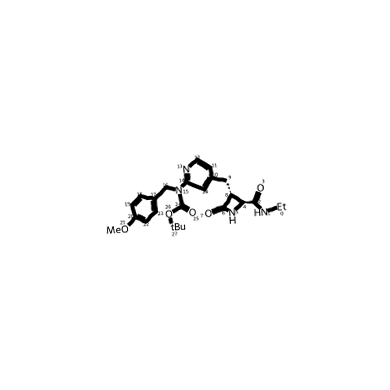 CCNC(=O)[C@H]1NC(=O)[C@@H]1Cc1ccnc(N(Cc2ccc(OC)cc2)C(=O)OC(C)(C)C)c1